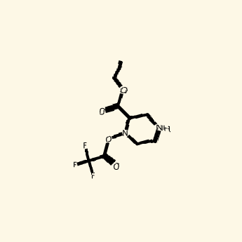 CCOC(=O)C1CNCCN1OC(=O)C(F)(F)F